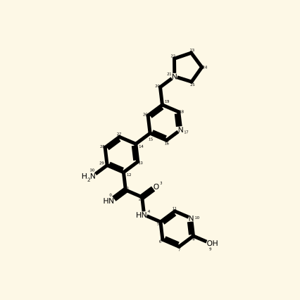 N=C(C(=O)Nc1ccc(O)nc1)c1cc(-c2cncc(CN3CCCC3)c2)ccc1N